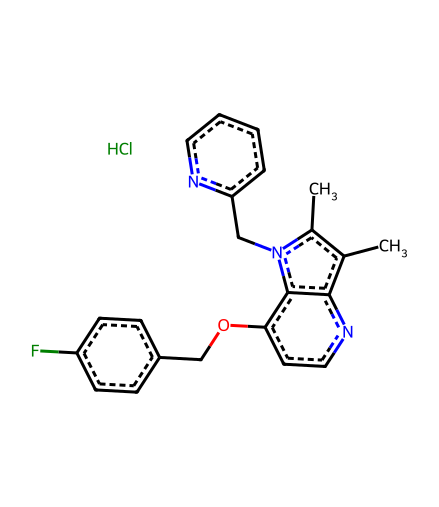 Cc1c(C)n(Cc2ccccn2)c2c(OCc3ccc(F)cc3)ccnc12.Cl